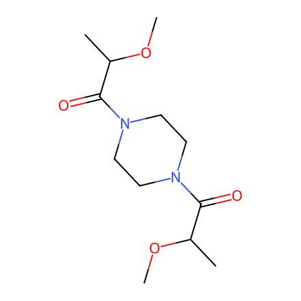 COC(C)C(=O)N1CCN(C(=O)C(C)OC)CC1